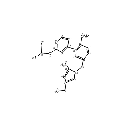 COc1ncc(Cn2cc(CO)nc2C)cc1-c1ccnc(OC(F)F)c1